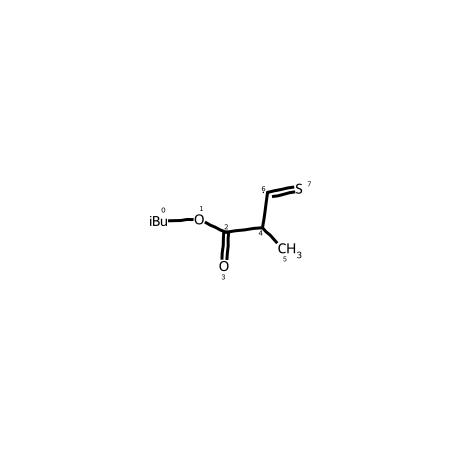 CCC(C)OC(=O)C(C)[C]=S